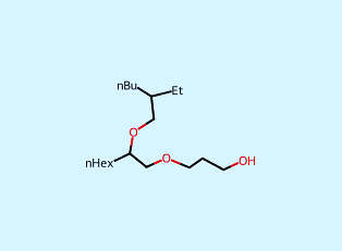 CCCCCCC(COCCCO)OCC(CC)CCCC